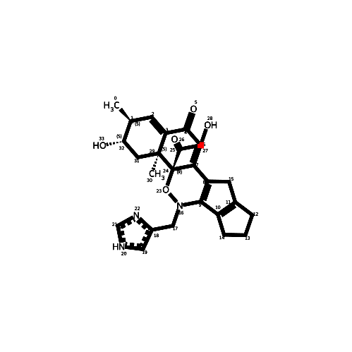 C[C@H]1C=C2C(=O)C=C3C4=C(C5=C(CCC5)C4)N(Cc4c[nH]cn4)O[C@]3(C(=O)CO)[C@@]2(C)C[C@@H]1O